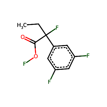 CCC(F)(C(=O)OF)c1cc(F)cc(F)c1